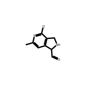 Cc1cc2c(c(Cl)n1)CNC2C=O